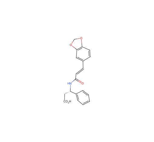 O=C(O)C[C@H](NC(=O)C=Cc1ccc2c(c1)OCO2)c1ccccc1